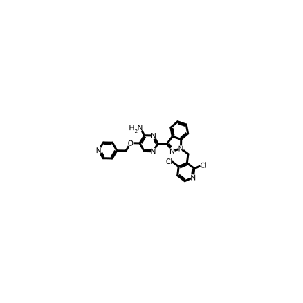 Nc1nc(-c2nn(Cc3c(Cl)ccnc3Cl)c3ccccc23)ncc1OCc1ccncc1